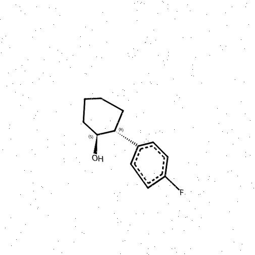 O[C@H]1CCCC[C@@H]1c1ccc(F)cc1